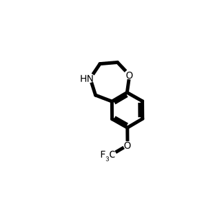 FC(F)(F)Oc1ccc2c(c1)CNCCO2